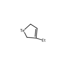 CCC1=CC[Te]C1